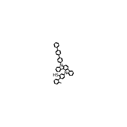 Cc1ccccc1-c1ccc(-n2c3ccccc3c3ccc4c(c5ccccc5n4-c4ccc(-c5ccc(-c6ccccc6)cc5)cc4)c32)cc1S